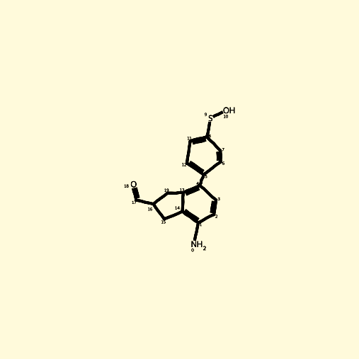 Nc1ccc(-c2ccc(SO)cc2)c2c1CC(C=O)C2